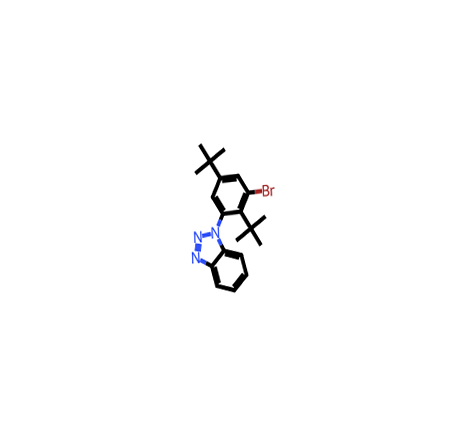 CC(C)(C)c1cc(Br)c(C(C)(C)C)c(-n2nnc3ccccc32)c1